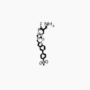 CS(=O)(=O)c1ccc(-c2ccc3sc(Cn4cnn(CC(CN)=C(F)F)c4=O)cc3c2)cc1